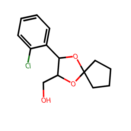 OCC1OC2(CCCC2)OC1c1ccccc1Cl